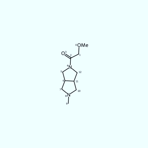 COCC(=O)N1CC2CN(C)CC2C1